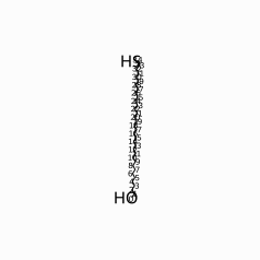 OCCCCCCCCCCCCCCCCCCCCCCCCCCCCCCCCCS